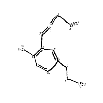 CC(C)(C)C=C=Cc1cc(CCC(C)(C)C)ccc1O